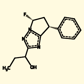 CCC(O)c1nc2n(n1)[C@H](F)C[C@@H]2c1ccccc1